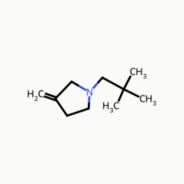 C=C1CCN(CC(C)(C)C)C1